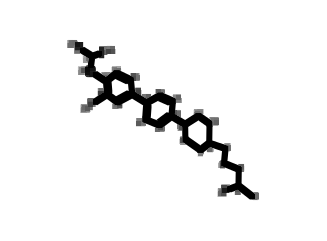 CC(F)CCCC1CCC(c2ccc(-c3ccc(OC(F)F)c(F)c3)cc2)CC1